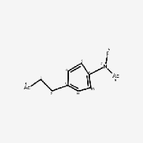 CC(=O)CCc1ccc(N(F)C(C)=O)cc1